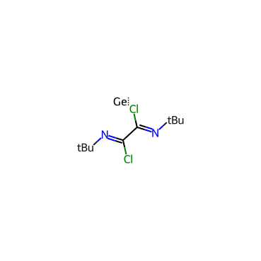 CC(C)(C)N=C(Cl)C(Cl)=NC(C)(C)C.[Ge]